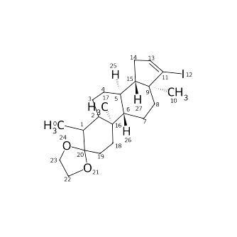 CC1C2CC[C@@H]3[C@H](CC[C@]4(C)C(I)=CC[C@@H]34)[C@@]2(C)CCC12OCCO2